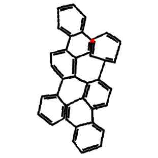 c1ccc(-c2ccc3c(ccc4ccccc43)c2-c2c(-c3ccccc3)ccc3c2ccc2ccccc23)cc1